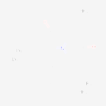 CC(C)(C)c1ccc2c(c1)C1(c3cc(C(C)(C)C)ccc3-2)c2cc(C(C)(C)C)cc3c(=O)c4cc(C(C)(C)C)cc5c(=O)c6cc(C(C)(C)C)cc1c6n(c23)c45